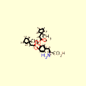 CC1(CC(=O)Oc2ccc(C[C@H](N)C(=O)O)cc2OC(=O)CC2(C)CCCC2)CCCC1